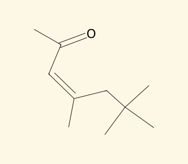 CC(=O)C=C(C)CC(C)(C)C